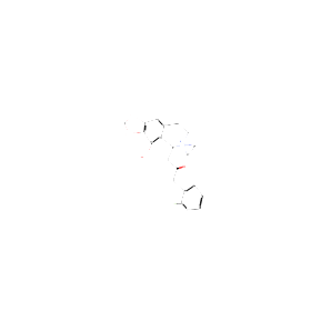 COc1c2c(cc3c1C(CC(=O)Cc1ccccc1F)[N+]1(CC3)CC1)OCO2